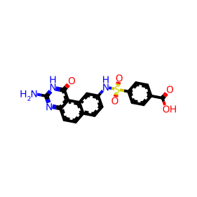 Nc1nc2ccc3ccc(NS(=O)(=O)c4ccc(C(=O)O)cc4)cc3c2c(=O)[nH]1